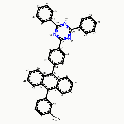 N#Cc1cccc(-c2c3ccccc3c(-c3ccc(-c4nc(-c5ccccc5)nc(-c5ccccc5)n4)cc3)c3ccccc23)c1